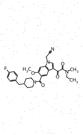 CCN(C)C(=O)C(=O)c1cn(CC#N)c2cc(OC)c(C(=O)N3CCC(Cc4ccc(F)cc4)CC3)cc12